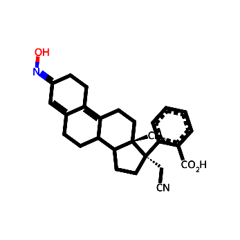 C[C@]12CCC3=C4CCC(=NO)C=C4CCC3C1CC[C@]2(CC#N)c1ccccc1C(=O)O